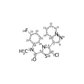 CN(C(=O)c1nc(-c2cnn3ccccc23)c(Cl)s1)c1cccc(F)c1